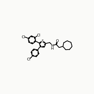 O=C(CC1CCCCCC1)NCc1cc(-c2ccc(Cl)cc2)c(-c2ccc(Cl)cc2Cl)s1